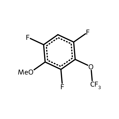 COc1c(F)cc(F)c(OC(F)(F)F)c1F